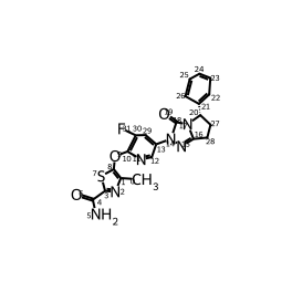 Cc1nc(C(N)=O)sc1Oc1ncc(-n2nc3n(c2=O)[C@H](c2ccccc2)CC3)cc1F